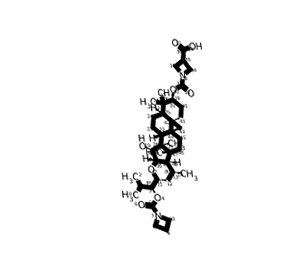 CC(C)[C@@H](OC(=O)N1CCC1)[C@H]1C[C@@H](C)[C@H]2[C@H](O1)[C@H](O)[C@@]1(C)[C@@H]3CC[C@H]4C(C)(C)[C@@H](OC(=O)N5CC(C(=O)O)C5)CC[C@@]45C[C@@]35CC[C@]21C